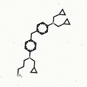 CCCCN(CC1CC1)c1ccc(Cc2ccc(N(CC3CC3)CC3CC3)cc2)cc1